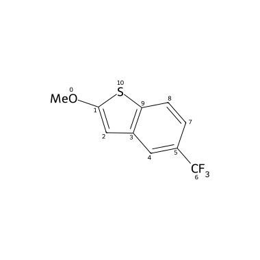 COc1cc2cc(C(F)(F)F)ccc2s1